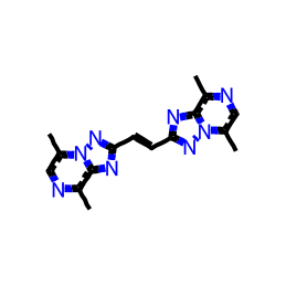 Cc1ncc(C)n2nc(/C=C/c3nc4c(C)ncc(C)n4n3)nc12